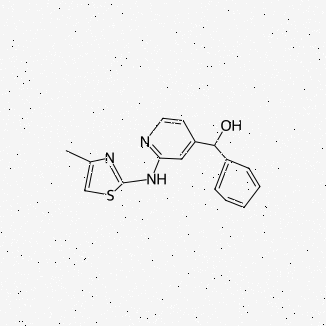 Cc1csc(Nc2cc(C(O)c3ccccc3)ccn2)n1